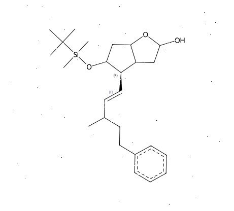 CC(/C=C/[C@H]1C(O[Si](C)(C)C(C)(C)C)CC2OC(O)CC21)CCc1ccccc1